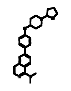 CN(C)c1nccc2cc(-c3ccc(OC4CCN([C]5CCCO5)CC4)cc3)ccc12